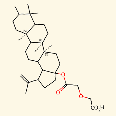 C=C(C)C1CCC2(OC(=O)COCC(=O)O)CC[C@@]3(C)C(CCC4[C@@]5(C)CCC(C)C(C)(C)C5CC[C@]43C)C12